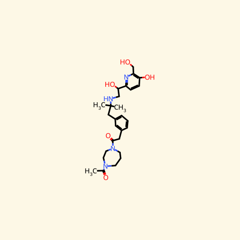 CC(=O)N1CCCN(C(=O)Cc2cccc(CC(C)(C)NCC(O)c3ccc(O)c(CO)n3)c2)CC1